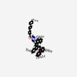 CCCCC[C@H]1CC[C@H](c2ccc(-c3ccc(C(=O)N4CCN(c5c6c(c7ccccc7c5OC)-c5c7c(c8ccc(OC)cc8c5C6(C)C)OC(c5ccc(OC)cc5)(c5ccc(OC)cc5)C=C7)CC4)cc3)cc2)CC1